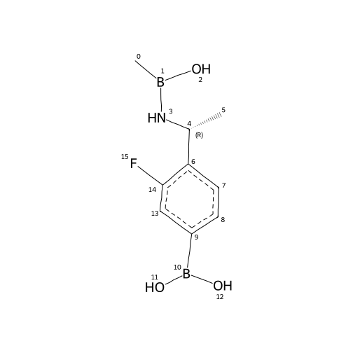 CB(O)N[C@H](C)c1ccc(B(O)O)cc1F